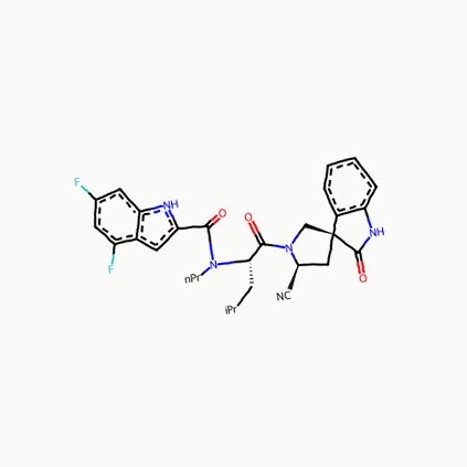 CCCN(C(=O)c1cc2c(F)cc(F)cc2[nH]1)[C@@H](CC(C)C)C(=O)N1C[C@]2(C[C@H]1C#N)C(=O)Nc1ccccc12